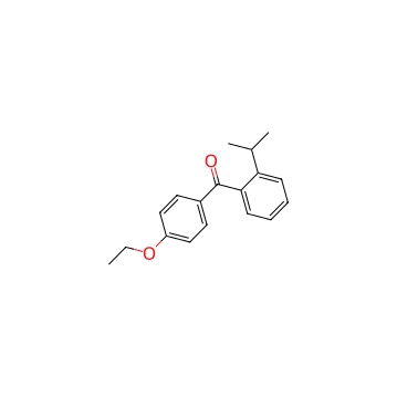 CCOc1ccc(C(=O)c2ccccc2C(C)C)cc1